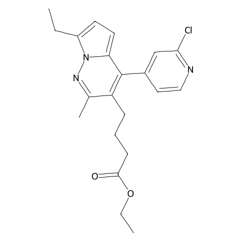 CCOC(=O)CCCc1c(C)nn2c(CC)ccc2c1-c1ccnc(Cl)c1